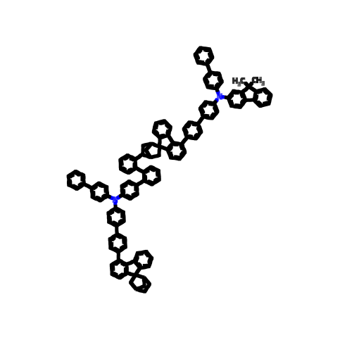 CC1(C)c2ccccc2-c2ccc(N(c3ccc(-c4ccccc4)cc3)c3ccc(-c4ccc(-c5cccc6c5-c5ccccc5C65CC6CC5CC6c5ccccc5-c5ccccc5-c5ccc(N(c6ccc(-c7ccccc7)cc6)c6ccc(-c7ccc(-c8cccc9c8-c8ccccc8C98CC9CCC8C9)cc7)cc6)cc5)cc4)cc3)cc21